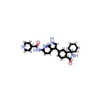 O=C(Nc1ccc2c(-c3ccc4c(c3)C3(CCCCC3)NC4=O)c[nH]c2n1)c1ccncc1